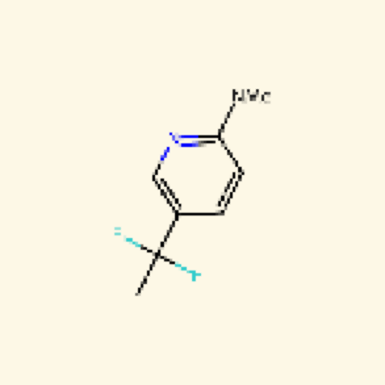 CNc1ccc(C(C)(F)F)cn1